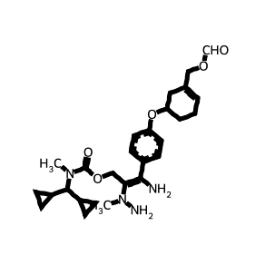 CN(N)/C(COC(=O)N(C)C(C1CC1)C1CC1)=C(\N)c1ccc(OC2CCC=C(COC=O)C2)cc1